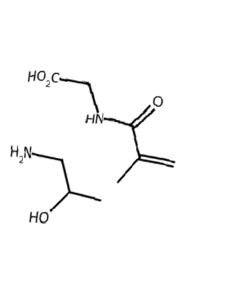 C=C(C)C(=O)NCC(=O)O.CC(O)CN